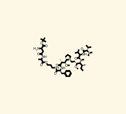 CC[C@H](C)[C@@H]([C@@H](CCN1CCC[C@H]1[C@H](OC)[C@@H](C)C(=O)N[C@@H](Cc1ccccc1)C(=O)NCCCOC(=O)C(C)NC(=O)CC(N)C(=O)OC(C)(C)C)OC)N(C)C(=O)C(NC(=O)[C@H](C(C)C)N(C)C)C(C)C